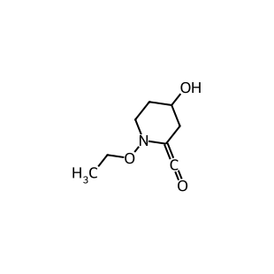 CCON1CCC(O)CC1=C=O